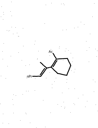 CCC/C=C(\C)C1=C(C(C)=O)CCCC1